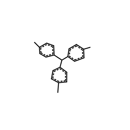 Cc1ccc(C(c2ccc(C)cc2)c2ccc(C)cc2)cc1